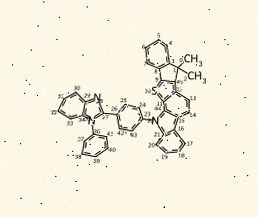 CC1(C)c2ccccc2-c2sc3c(ccc4c5ccccc5n(-c5ccc(-c6nc7ccccc7n6-c6ccccc6)cc5)c43)c21